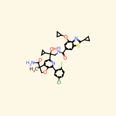 C[C@]1(C(N)=O)COc2c1cc(C(O)(CNC(=O)c1cc(OC3CC3)c3nc(C4CC4)sc3c1)C1CC1)nc2-c1cc(Cl)ccc1F